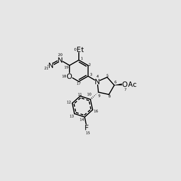 CCC1=CC(N2C[C@@H](OC(C)=O)C[C@@H]2c2cccc(F)c2)=COC1N=[N]